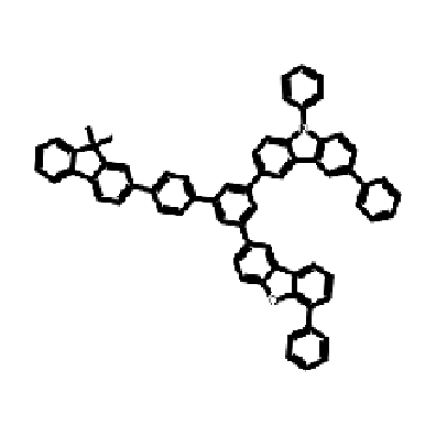 CC1(C)c2ccccc2-c2ccc(-c3ccc(-c4cc(-c5ccc6oc7c(-c8ccccc8)cccc7c6c5)cc(-c5ccc6c(c5)c5cc(-c7ccccc7)ccc5n6-c5ccccc5)c4)cc3)cc21